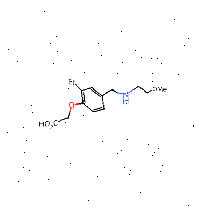 CCc1cc(CNCCOC)ccc1OCC(=O)O